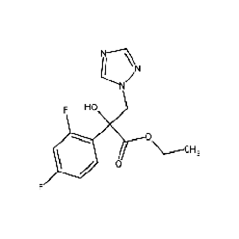 CCOC(=O)C(O)(Cn1cncn1)c1ccc(F)cc1F